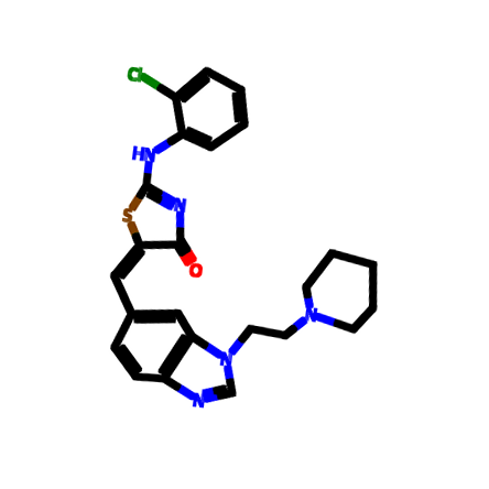 O=C1N=C(Nc2ccccc2Cl)SC1=Cc1ccc2ncn(CCN3CCCCC3)c2c1